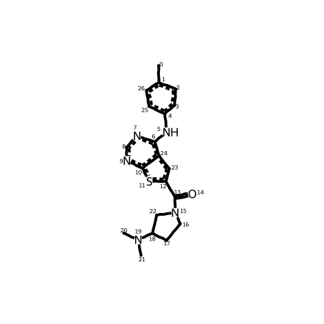 Cc1ccc(Nc2ncnc3sc(C(=O)N4CCC(N(C)C)C4)cc23)cc1